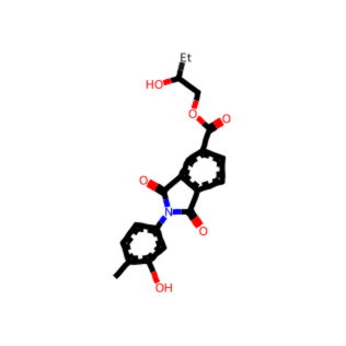 CCC(O)COC(=O)c1ccc2c(c1)C(=O)N(c1ccc(C)c(O)c1)C2=O